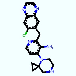 Nc1c(N2CCNCC23CC3)ccnc1Cc1cc2nccnc2cc1Cl